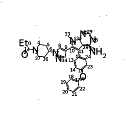 CCC(=O)N1CCC(n2cc(-c3c(-c4ccc(Oc5ccccc5)cc4)c4c(N)ncnc4n3C)cn2)CC1